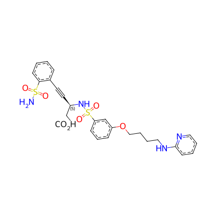 NS(=O)(=O)c1ccccc1C#C[C@H](CC(=O)O)NS(=O)(=O)c1cccc(OCCCCNc2ccccn2)c1